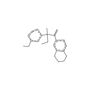 C=C(c1ccc2c(c1)CCCC2)C(C)(CC)c1cccc(CC)c1